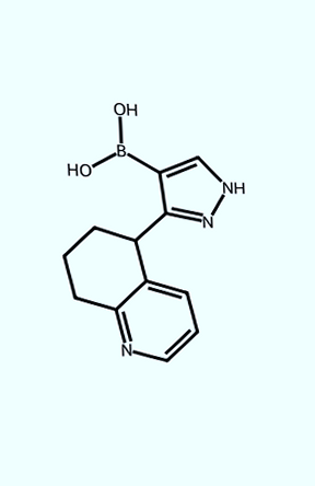 OB(O)c1c[nH]nc1C1CCCc2ncccc21